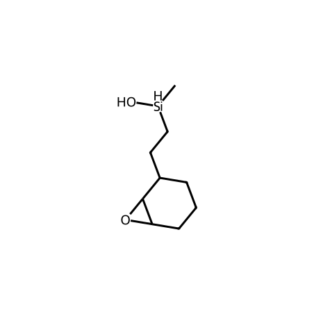 C[SiH](O)CCC1CCCC2OC12